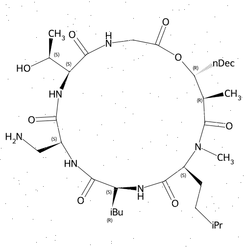 CCCCCCCCCC[C@H]1OC(=O)CNC(=O)[C@H]([C@H](C)O)NC(=O)[C@H](CN)NC(=O)[C@H]([C@H](C)CC)NC(=O)[C@H](CCC(C)C)N(C)C(=O)[C@@H]1C